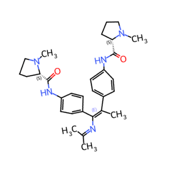 CC(C)=N/C(=C(\C)c1ccc(NC(=O)[C@@H]2CCCN2C)cc1)c1ccc(NC(=O)[C@@H]2CCCN2C)cc1